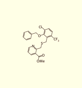 COC(=O)c1cccnc1CSCc1c(C(F)(F)F)ccc(Cl)c1OCc1ccccc1